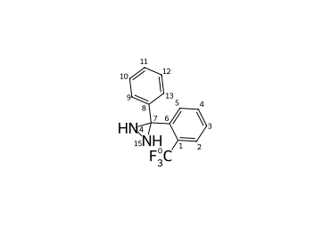 FC(F)(F)c1ccccc1C1(c2ccccc2)NN1